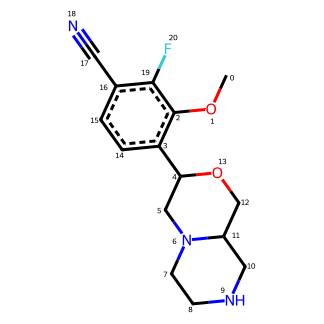 COc1c(C2CN3CCNCC3CO2)ccc(C#N)c1F